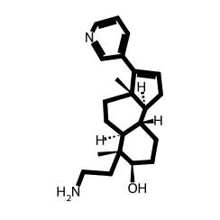 C[C@]1(CCN)[C@H](O)CC[C@@H]2[C@@H]1CC[C@]1(C)C(c3cccnc3)=CC[C@@H]21